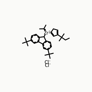 CCC(C)(C)C1=CC[C]([Zr+2](=[C](C)C)[CH]2c3ccc(C(C)(C)C)cc3-c3cc(C(C)(C)C)ccc32)=C1.[Cl-].[Cl-]